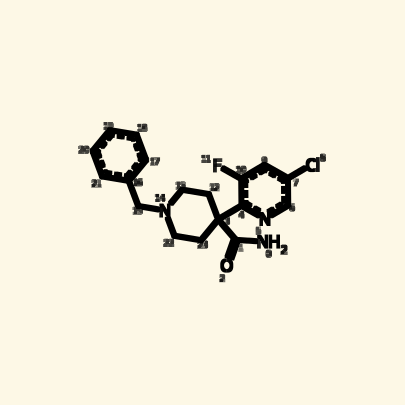 NC(=O)C1(c2ncc(Cl)cc2F)CCN(Cc2ccccc2)CC1